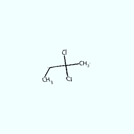 [CH2]C(Cl)(Cl)[CH]C